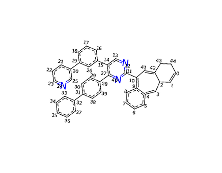 C1=CC2C=c3ccccc3=C(c3ncc(-c4cccc(-c5cccnc5)c4)c(-c4ccc(-c5ccccc5)cc4)n3)C=C2CC1